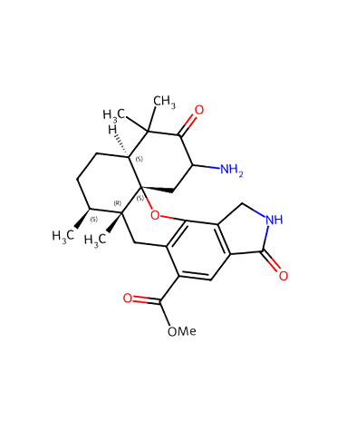 COC(=O)c1cc2c(c3c1C[C@]1(C)[C@@H](C)CC[C@H]4C(C)(C)C(=O)C(N)C[C@]41O3)CNC2=O